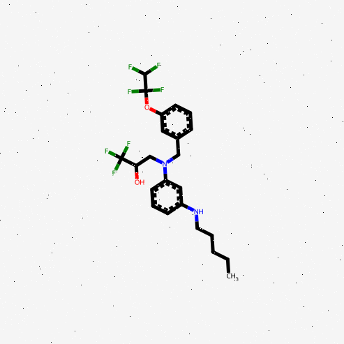 CCCCCNc1cccc(N(Cc2cccc(OC(F)(F)C(F)F)c2)CC(O)C(F)(F)F)c1